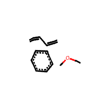 C=CC=C.COC.c1ccccc1